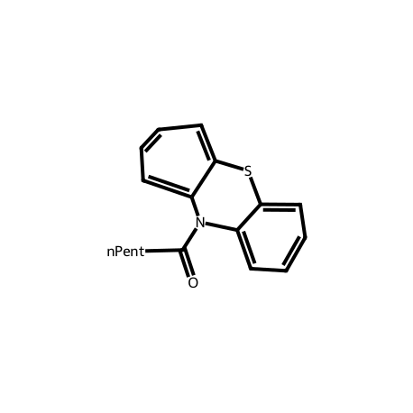 CCCCCC(=O)N1c2ccccc2Sc2ccccc21